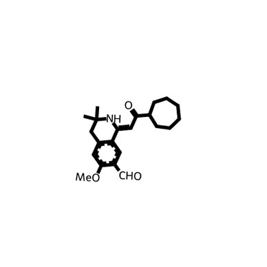 COc1cc2c(cc1C=O)C(=CC(=O)C1CCCCCC1)NC(C)(C)C2